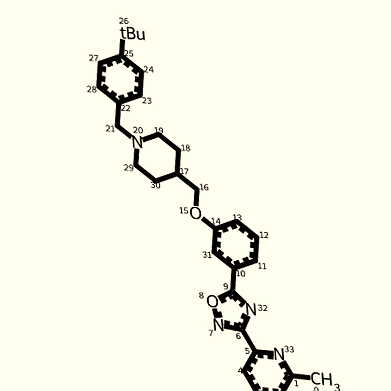 Cc1cccc(-c2noc(-c3cccc(OCC4CCN(Cc5ccc(C(C)(C)C)cc5)CC4)c3)n2)n1